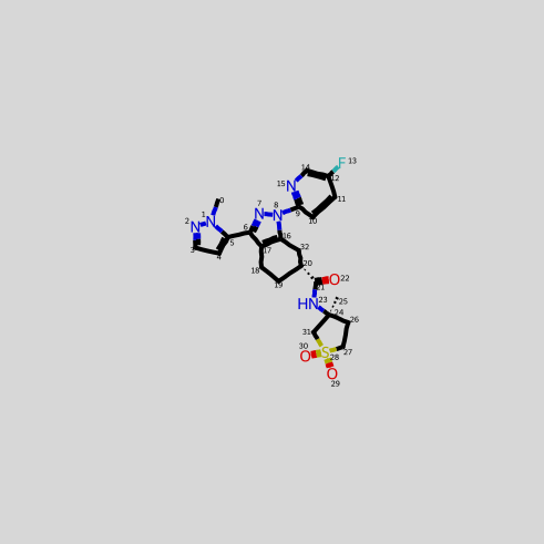 Cn1nccc1-c1nn(-c2ccc(F)cn2)c2c1CC[C@@H](C(=O)N[C@@]1(C)CCS(=O)(=O)C1)C2